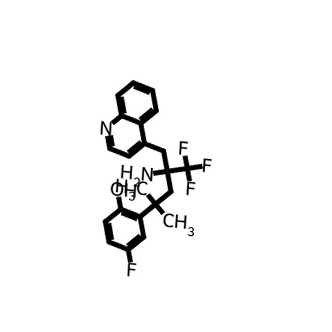 CC(C)(CC(N)(Cc1ccnc2ccccc12)C(F)(F)F)c1cc(F)ccc1O